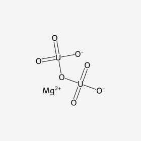 [Mg+2].[O]=[U](=[O])([O-])[O][U](=[O])(=[O])[O-]